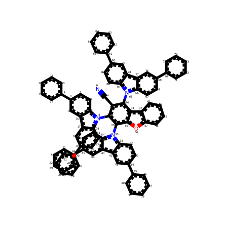 N#Cc1c(-n2c3ccc(-c4ccccc4)cc3c3cc(-c4ccccc4)ccc32)c(-n2c3ccc(-c4ccccc4)cc3c3cc(-c4ccccc4)ccc32)c2oc3ccccc3c2c1-n1c2ccc(-c3ccccc3)cc2c2cc(-c3ccccc3)ccc21